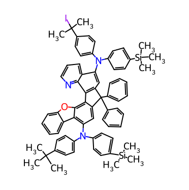 CC(C)(C)c1ccc(N(c2ccc([Si](C)(C)C)cc2)c2cc3c(c4oc5ccccc5c24)-c2c(cc(N(c4ccc(C(C)(C)I)cc4)c4ccc([Si](C)(C)C)cc4)c4cccnc24)C3(c2ccccc2)c2ccccc2)cc1